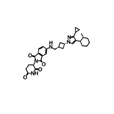 CC1CCCCC1c1cn([C@H]2C[C@H](CNc3ccc4c(c3)C(=O)N(C3CCC(=O)NC3=O)C4=O)C2)nc1C1CC1